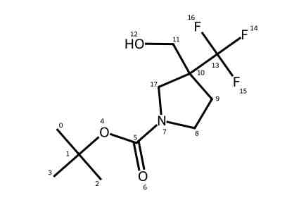 CC(C)(C)OC(=O)N1CCC(CO)(C(F)(F)F)C1